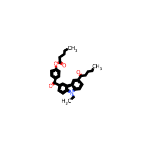 CCCCC(=O)Oc1ccc(C(=O)c2ccc3c(c2)c2cc(C(=O)CCCC)ccc2n3CC)cc1